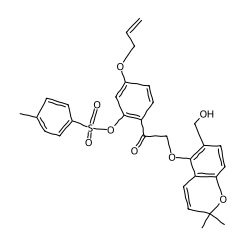 C=CCOc1ccc(C(=O)COc2c(CO)ccc3c2C=CC(C)(C)O3)c(OS(=O)(=O)c2ccc(C)cc2)c1